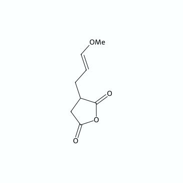 CO/C=C/CC1CC(=O)OC1=O